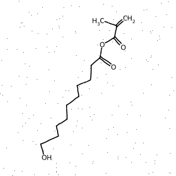 C=C(C)C(=O)OC(=O)CCCCCCCCCO